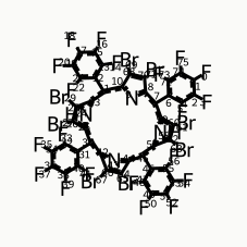 Fc1c(F)c(F)c(-c2c3nc(c(-c4c(F)c(F)c(F)c(F)c4F)c4[nH]c(c(Br)c4Br)c(-c4c(F)c(F)c(F)c(F)c4F)c4nc(c(-c5c(F)c(F)c(F)c(F)c5F)c5[nH]c2c(Br)c5Br)C(Br)=C4Br)C(Br)=C3Br)c(F)c1F